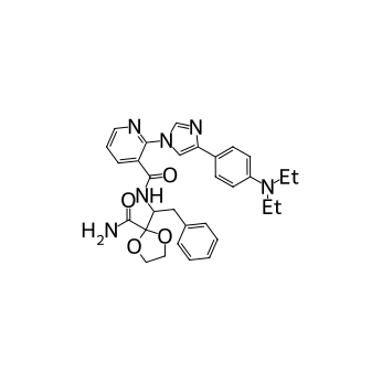 CCN(CC)c1ccc(-c2cn(-c3ncccc3C(=O)NC(Cc3ccccc3)C3(C(N)=O)OCCO3)cn2)cc1